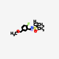 COCc1ccc(F)c(/C=N/[S+]([O-])C(C)(C)C)c1